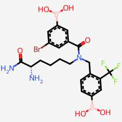 NC(=O)[C@@H](N)CCCCN(Cc1ccc(B(O)O)cc1C(F)(F)F)C(=O)c1cc(Br)cc(B(O)O)c1